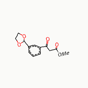 COC(=O)CC(=O)c1cccc(C2OCCO2)c1